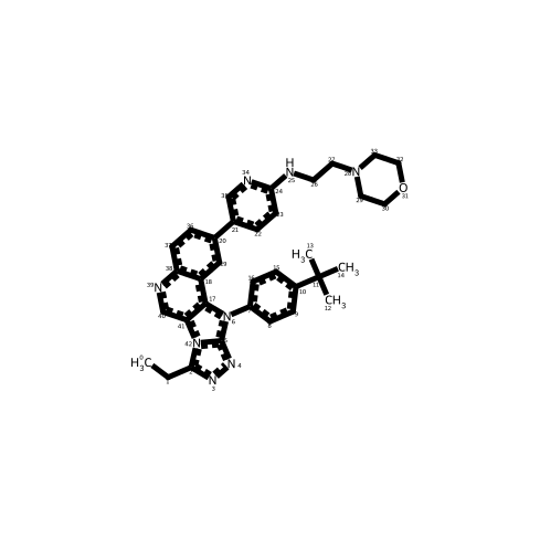 CCc1nnc2n(-c3ccc(C(C)(C)C)cc3)c3c4cc(-c5ccc(NCCN6CCOCC6)nc5)ccc4ncc3n12